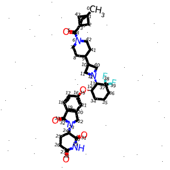 CC12CC(C(=O)N3CCC(C4CN([C@@H]5[C@@H](Oc6ccc7c(c6)CN(C6CCC(=O)NC6=O)C7=O)CCCC5(F)F)C4)CC3)(C1)C2